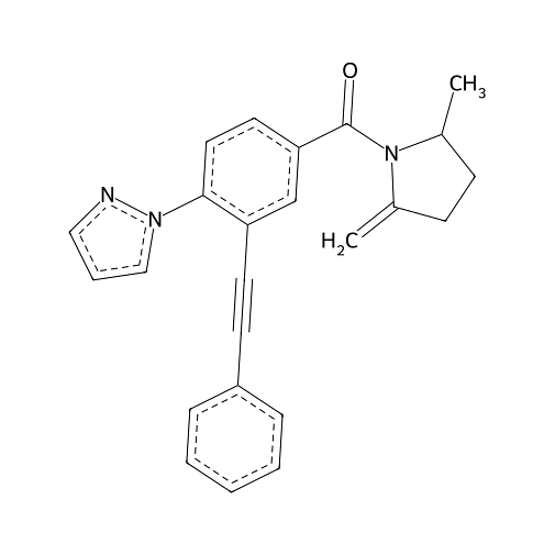 C=C1CCC(C)N1C(=O)c1ccc(-n2cccn2)c(C#Cc2ccccc2)c1